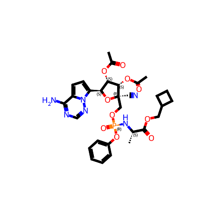 CC(=O)O[C@H]1[C@H](c2ccc3c(N)ncnn23)O[C@](C#N)(CO[P@](=O)(N[C@@H](C)C(=O)OCC2CCC2)Oc2ccccc2)[C@H]1OC(C)=O